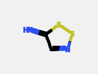 N=c1cnss1